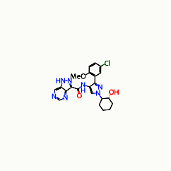 COc1ccc(Cl)cc1-c1nn([C@@H]2CCCC[C@H]2O)cc1NC(=O)c1n[nH]c2cncnc12